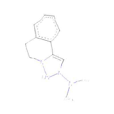 CCCCN(CCCC)N1C=C2c3ccccc3CCN2N1